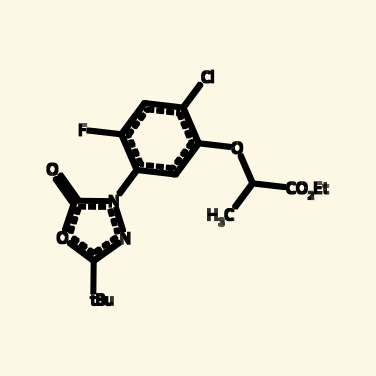 CCOC(=O)C(C)Oc1cc(-n2nc(C(C)(C)C)oc2=O)c(F)cc1Cl